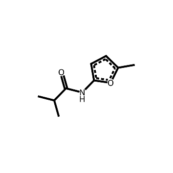 Cc1ccc(NC(=O)C(C)C)o1